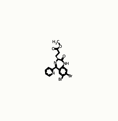 COC(=O)CC[C@@H]1N=C(c2ccccn2)c2cc(Br)c(Br)cc2NC1=O